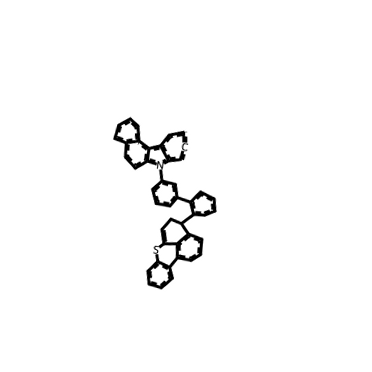 C1=C2Sc3ccccc3-c3cccc(c32)C(c2ccccc2-c2cccc(-n3c4ccccc4c4c5ccccc5ccc43)c2)C1